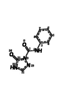 O=C(Nc1ccccc1)n1nc[nH]c1=O